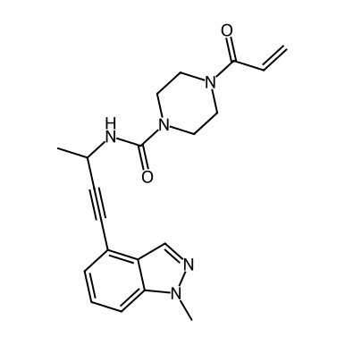 C=CC(=O)N1CCN(C(=O)NC(C)C#Cc2cccc3c2cnn3C)CC1